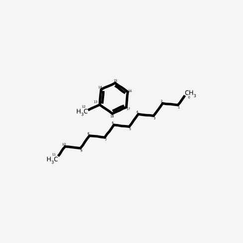 CCCCCCCCCCCC.Cc1ccccc1